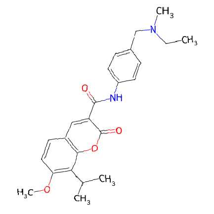 CCN(C)Cc1ccc(NC(=O)c2cc3ccc(OC)c(C(C)C)c3oc2=O)cc1